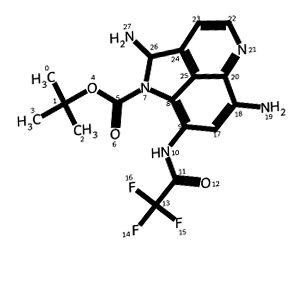 CC(C)(C)OC(=O)N1c2c(NC(=O)C(F)(F)F)cc(N)c3nccc(c23)C1N